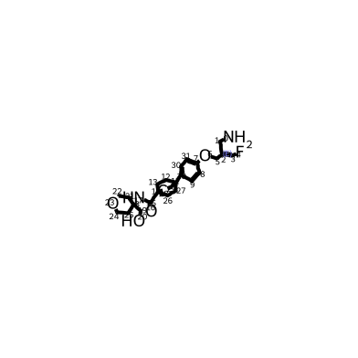 NC/C(=C\F)COc1ccc(C23CCC(C(=O)NC4(CO)CCOCC4)(CC2)CC3)cc1